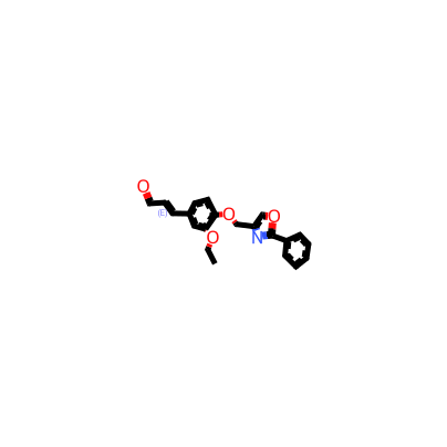 CCOc1cc(/C=C/C=O)ccc1OCc1coc(-c2ccccc2)n1